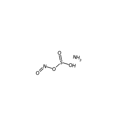 N.O=NOS(=O)O